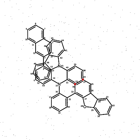 c1cc(-c2ccc3ccccc3c2)cc(N(c2ccccc2-c2cccc3c2oc2ccccc23)c2ccccc2-n2c3ccccc3c3ccccc32)c1